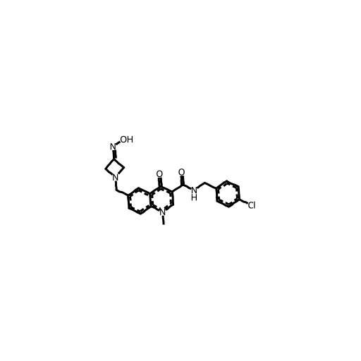 Cn1cc(C(=O)NCc2ccc(Cl)cc2)c(=O)c2cc(CN3CC(=NO)C3)ccc21